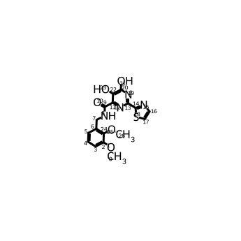 COc1cccc(CNC(=O)c2nc(-c3nccs3)nc(O)c2O)c1OC